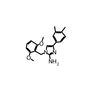 COc1cccc(OC)c1Cn1cc(-c2ccc(C)c(C)c2)nc1N